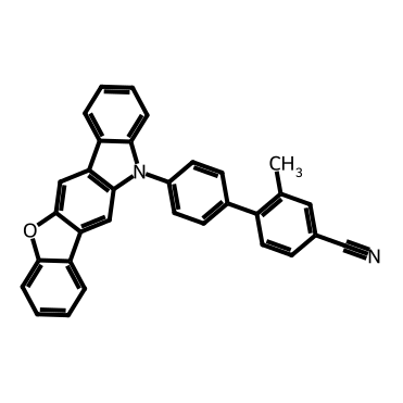 Cc1cc(C#N)ccc1-c1ccc(-n2c3ccccc3c3cc4oc5ccccc5c4cc32)cc1